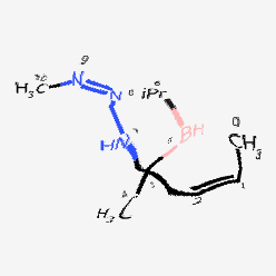 C/C=C\C(C)(BC(C)C)N/N=N\C